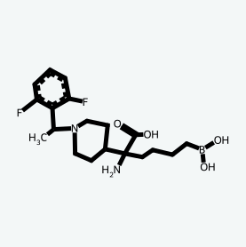 CC(c1c(F)cccc1F)N1CCC(C(N)(CCCCB(O)O)C(=O)O)CC1